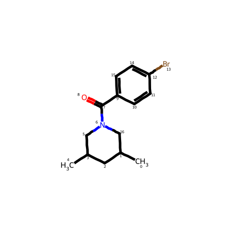 CC1CC(C)CN(C(=O)c2ccc(Br)cc2)C1